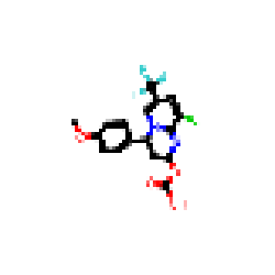 COc1ccc(C2CC(OC(=O)O)N=C3C(Cl)=CC(C(F)(F)F)=CN32)cc1